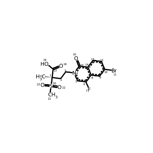 C[C@@](CCn1cc(F)c2cc(Br)ccc2c1=O)(C(=O)O)S(C)(=O)=O